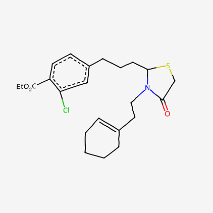 CCOC(=O)c1ccc(CCCC2SCC(=O)N2CCC2=CCCCC2)cc1Cl